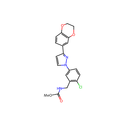 COC(=O)NCc1cc(-n2ccc(-c3ccc4c(c3)OCCO4)n2)ccc1Cl